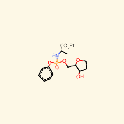 CCOC(=O)[C@H](C)NP(=O)(OC[C@H]1OCC[C@H]1O)Oc1ccccc1